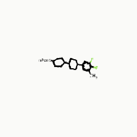 CCCCCC1CCC(C2CCC(c3cc(C)c(F)c(F)c3)CC2)CC1